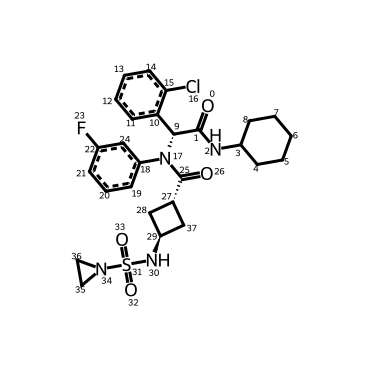 O=C(NC1CCCCC1)[C@@H](c1ccccc1Cl)N(c1cccc(F)c1)C(=O)[C@H]1C[C@H](NS(=O)(=O)N2CC2)C1